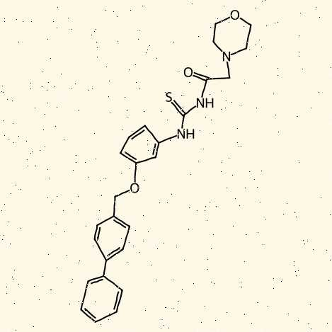 O=C(CN1CCOCC1)NC(=S)Nc1cccc(OCc2ccc(-c3ccccc3)cc2)c1